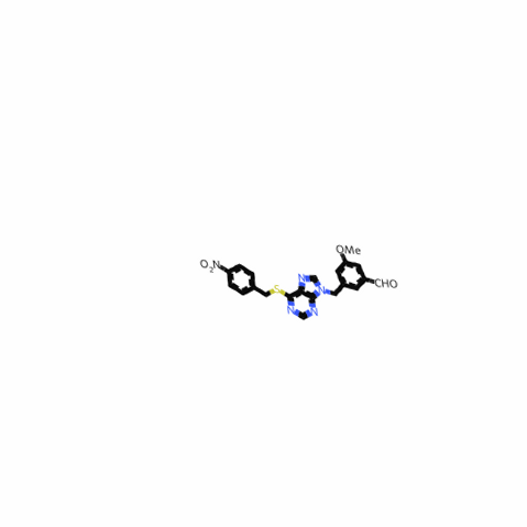 COc1cc(C=O)cc(Cn2cnc3c(SCc4ccc([N+](=O)[O-])cc4)ncnc32)c1